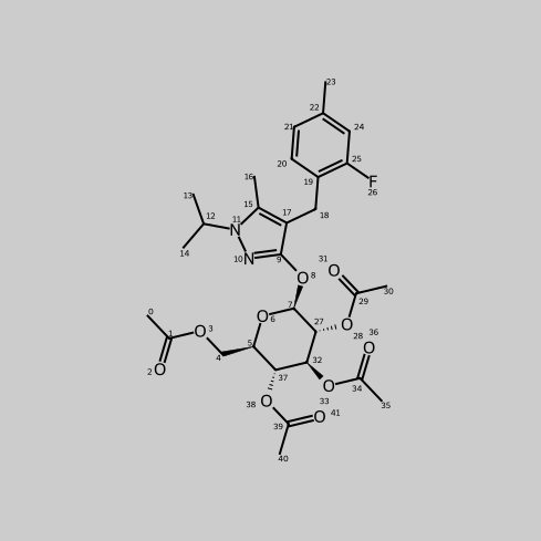 CC(=O)OC[C@H]1O[C@@H](Oc2nn(C(C)C)c(C)c2Cc2ccc(C)cc2F)[C@H](OC(C)=O)[C@@H](OC(C)=O)[C@@H]1OC(C)=O